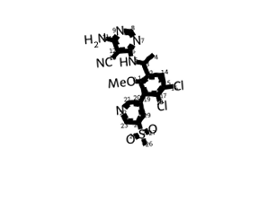 COc1c(C(C)Nc2ncnc(N)c2C#N)cc(Cl)c(Cl)c1-c1cncc(S(C)(=O)=O)c1